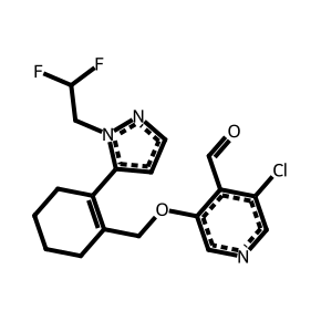 O=Cc1c(Cl)cncc1OCC1=C(c2ccnn2CC(F)F)CCCC1